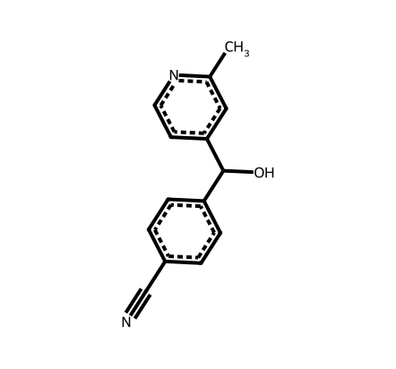 Cc1cc(C(O)c2ccc(C#N)cc2)ccn1